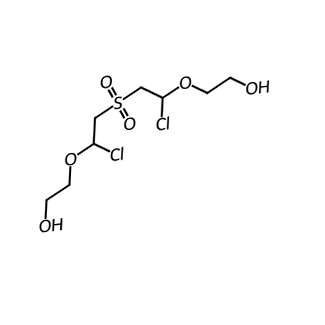 O=S(=O)(CC(Cl)OCCO)CC(Cl)OCCO